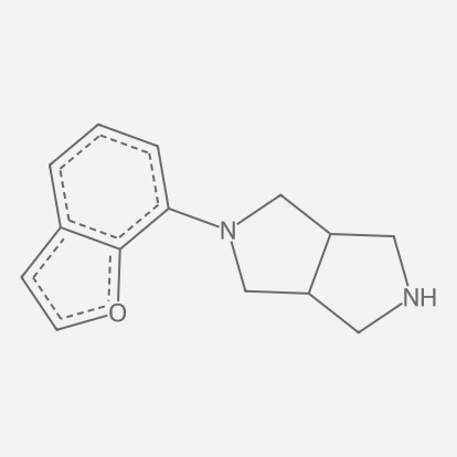 c1cc(N2CC3CNCC3C2)c2occc2c1